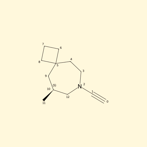 C#CN1CCC2(CCC2)C[C@H](C)C1